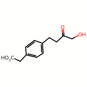 O=C(O)Cc1ccc(CCC(=O)CO)cc1